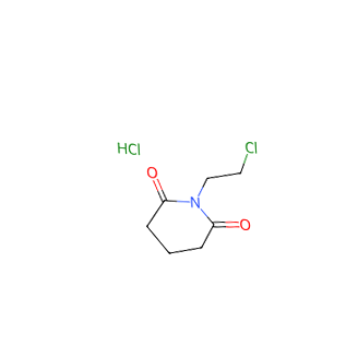 Cl.O=C1CCCC(=O)N1CCCl